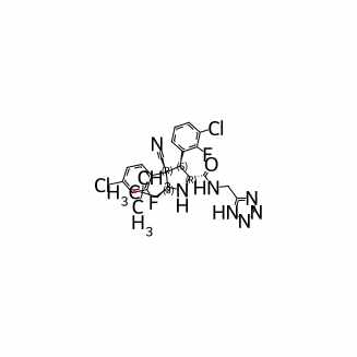 CC(C)(C)C[C@@H]1N[C@@H](C(=O)NCc2nnn[nH]2)[C@H](c2cccc(Cl)c2F)[C@@]1(C#N)c1ccc(Cl)cc1F